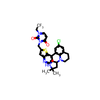 CC1(C)CC(N2CCCc3cc(Cl)cc(-c4ccnc5cc(Cn6c(=O)ccn(CC(F)(F)F)c6=O)sc45)c32)CN1